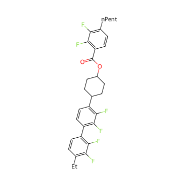 CCCCCc1ccc(C(=O)OC2CCC(c3ccc(-c4ccc(CC)c(F)c4F)c(F)c3F)CC2)c(F)c1F